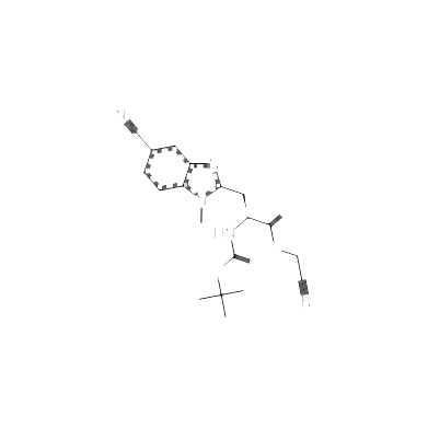 Cn1c(C[C@H](NC(=O)OC(C)(C)C)C(=O)OCC#N)nc2cc(C#N)ccc21